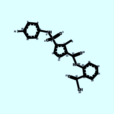 Cc1c(S(=O)(=O)Nc2ccc(I)cc2)csc1C(=O)Nc1ccccc1C(=O)O